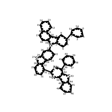 c1ccc(-c2ccc3c(c2)c2c4ccccc4ccc2n3-c2ccc3c(c2)sc2cccc(-c4nc(-c5ccccc5)c5sc6ccccc6c5n4)c23)cc1